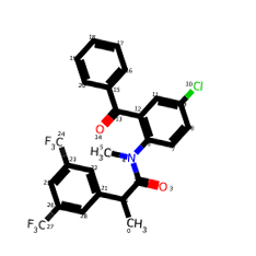 CC(C(=O)N(C)c1ccc(Cl)cc1C(=O)c1ccccc1)c1cc(C(F)(F)F)cc(C(F)(F)F)c1